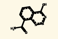 NC(=O)c1cccc2c(O)nnnc12